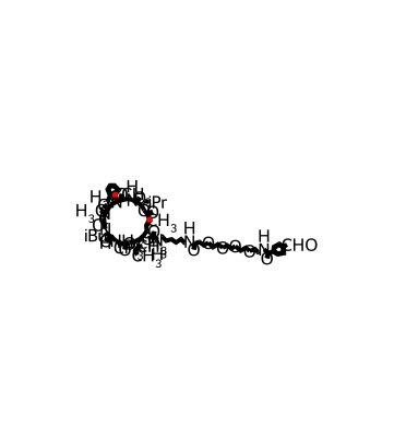 C/C=C(\C)[C@H]1OC(=O)[C@@H](C)NC(=O)[C@H]([C@H](C)CC)NC(=O)CN(C)C(=O)[C@@H](Cc2ccccc2)N(C)C(=O)[C@H](C)NC(=O)[C@@H](CC(C)C)OC(=O)/C(C)=C/C[C@H](OC(=O)NCCCCCCNC(=O)CCOCCOCCOCCOCCNC(=O)c2ccc(C=O)cc2)[C@@H]1C